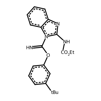 CCOC(=O)Nc1nc2ccccc2n1C(=N)Oc1cccc(C(C)(C)C)c1